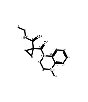 CCNC(=O)C1(C(=O)N2CCN(C)c3ccccc32)CC1